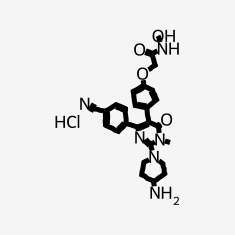 Cl.Cn1c(N2CCC(N)CC2)nc(-c2ccc(C#N)cc2)c(-c2ccc(OCC(=O)NO)cc2)c1=O